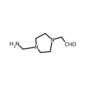 NCN1CCN(CC=O)CC1